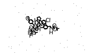 COc1ccc([C@H](NC(=O)[C@H](Cc2ccc(CNC(=O)OC(C)(C)C)cc2)NC(=O)C2(c3cccc(Cl)c3)CCCC2)C(=O)N[C@H](C(=O)C(F)(F)F)C(C)C)cc1